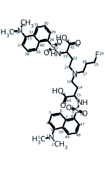 CN(C)c1cccc2c(S(=O)(=O)NC(CCN(CCCF)CCC(NS(=O)(=O)c3cccc4c(N(C)C)cccc34)C(=O)O)C(=O)O)cccc12